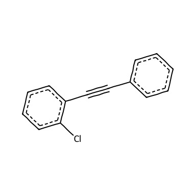 Clc1ccccc1C#Cc1ccccc1